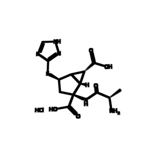 C[C@H](N)C(=O)N[C@@]1(C(=O)O)C[C@@H](Sc2nc[nH]n2)C2[C@H](C(=O)O)[C@H]21.Cl